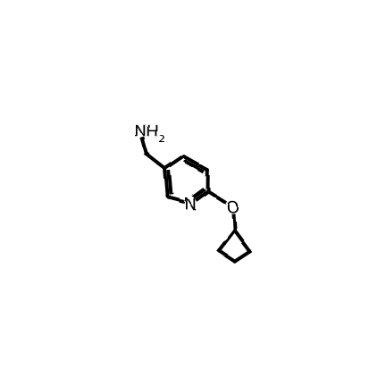 NCc1ccc(OC2CCC2)nc1